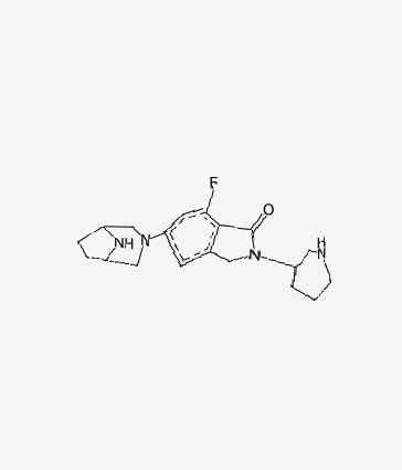 O=C1c2c(F)cc(N3CC4CCC(C3)N4)cc2CN1C1CCCNC1